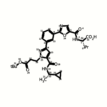 CC(C)[C@H](NC(=O)c1cnc(-c2cccc(-c3cc(C(=O)N[C@@H](C)C4CC4)n(CCC(=O)OC(C)(C)C)n3)c2)o1)C(=O)O